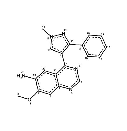 COc1cc2ncnc(-c3cn(C)nc3-c3ccccc3)c2cc1N